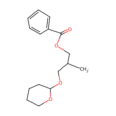 [CH2]C(COC(=O)c1ccccc1)COC1CCCCO1